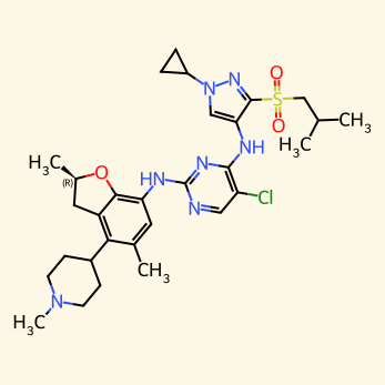 Cc1cc(Nc2ncc(Cl)c(Nc3cn(C4CC4)nc3S(=O)(=O)CC(C)C)n2)c2c(c1C1CCN(C)CC1)C[C@@H](C)O2